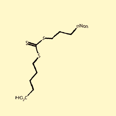 CCCCCCCCCCCCSC(=S)SCCCCC(=O)O